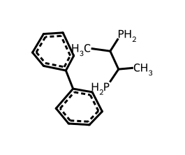 CC(P)C(C)P.c1ccc(-c2ccccc2)cc1